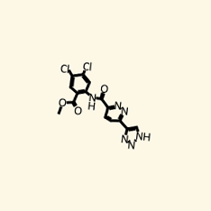 COC(=O)c1cc(Cl)c(Cl)cc1NC(=O)c1ccc(-c2c[nH]nn2)nn1